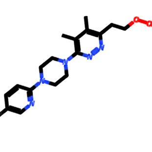 Cc1c(CCOO)nnc(N2CCN(c3ccc(C(F)(F)F)cn3)CC2)c1C